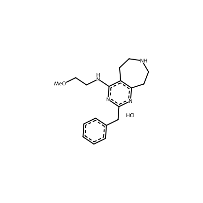 COCCNc1nc(Cc2ccccc2)nc2c1CCNCC2.Cl